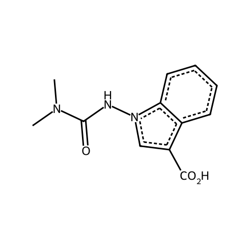 CN(C)C(=O)Nn1cc(C(=O)O)c2ccccc21